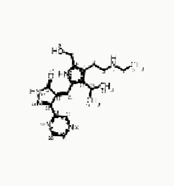 CCNCCc1c(CO)[nH]c(C=C2C(=O)NN=C2c2cnccn2)c1C(C)C